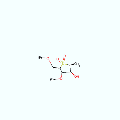 CC(C)OC[C@@H]1C(OC(C)C)[C@H](O)[C@H](C)S1(=O)=O